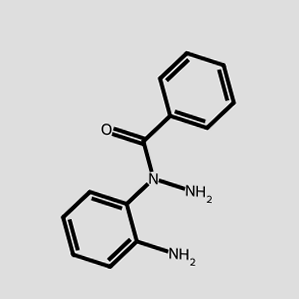 Nc1ccccc1N(N)C(=O)c1ccccc1